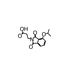 CC(C)Oc1cccc2c1C(=O)N(CCC(=O)O)C2=O